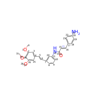 COc1cc(C=Cc2cccc(NC(=O)/C=C/c3ccc(N)cc3)c2)cc(OC)c1OC